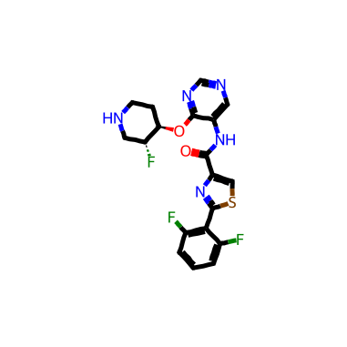 O=C(Nc1cncnc1O[C@@H]1CCNC[C@H]1F)c1csc(-c2c(F)cccc2F)n1